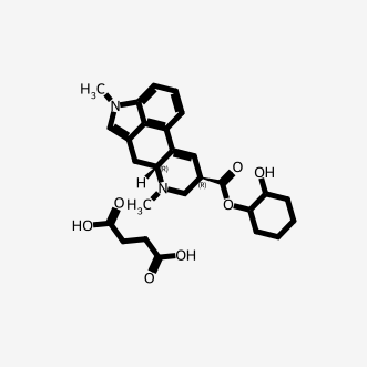 CN1C[C@H](C(=O)OC2CCCCC2O)C=C2c3cccc4c3c(cn4C)C[C@H]21.O=C(O)CCC(=O)O